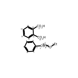 CCOCC.O=C(O)c1ccccc1.O=C(O)c1ccccc1C(=O)O